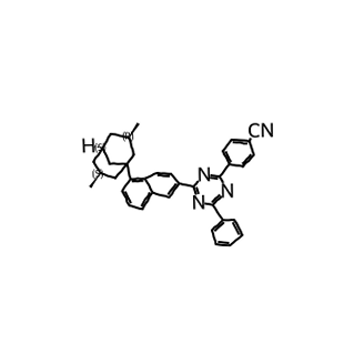 C[C@@H]1C[C@@H]2C[C@H](C)CC(c3cccc4cc(-c5nc(-c6ccccc6)nc(-c6ccc(C#N)cc6)n5)ccc34)(C1)C2